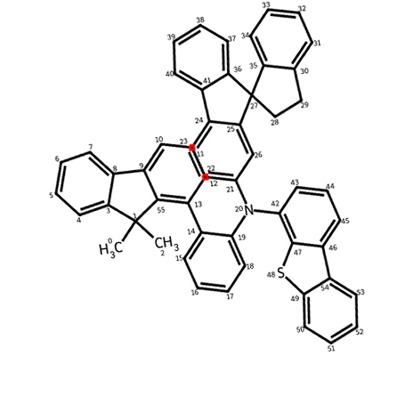 CC1(C)c2ccccc2-c2cccc(-c3ccccc3N(c3ccc4c(c3)C3(CCc5ccccc53)c3ccccc3-4)c3cccc4c3sc3ccccc34)c21